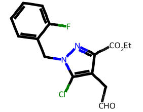 CCOC(=O)c1nn(Cc2ccccc2F)c(Cl)c1CC=O